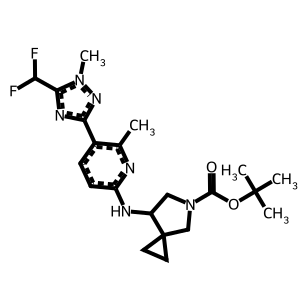 Cc1nc(NC2CN(C(=O)OC(C)(C)C)CC23CC3)ccc1-c1nc(C(F)F)n(C)n1